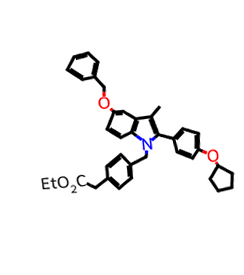 CCOC(=O)Cc1ccc(Cn2c(-c3ccc(OC4CCCC4)cc3)c(C)c3cc(OCc4ccccc4)ccc32)cc1